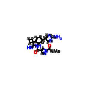 CNC(=O)n1cc(C(=O)NC(=N)C2(c3ccc(-c4cnc(N)nc4)cc3)CCC2)cn1